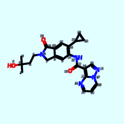 CC(C)(O)CCN1Cc2cc(NC(=O)c3cnn4cccnc34)c(C3CC3)cc2C1=O